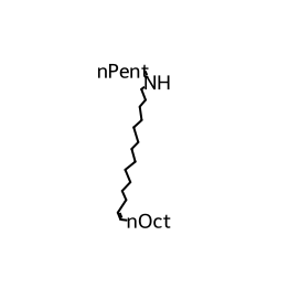 CCCCCCCC/C=C\CCCCCCCCCCCCNCCCCC